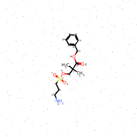 CC(C)(COS(=O)(=O)CCCN)C(=O)OCc1ccccc1